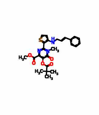 COC(=O)c1nc(-c2sccc2NCC=Cc2ccccc2)n(C)c(=O)c1OC(=O)C(C)(C)C